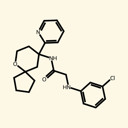 O=C(CNc1cccc(Cl)c1)NC1(c2ccccn2)CCOC2(CCCC2)C1